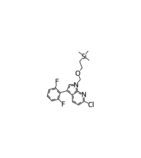 C[Si](C)(C)CCOCn1cc(-c2c(F)cccc2F)c2ccc(Cl)nc21